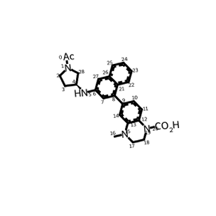 CC(=O)N1CC[C@H](Nc2cc(-c3ccc4c(c3)N(C)CCN4C(=O)O)c3ccccc3c2)C1